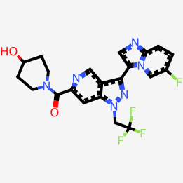 O=C(c1cc2c(cn1)c(-c1cnc3ccc(F)cn13)nn2CC(F)(F)F)N1CCC(O)CC1